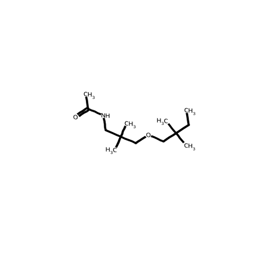 CCC(C)(C)COCC(C)(C)CNC(C)=O